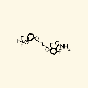 NC(=O)c1c(F)ccc(OCCCCOc2cccc(OC(F)(F)F)c2)c1F